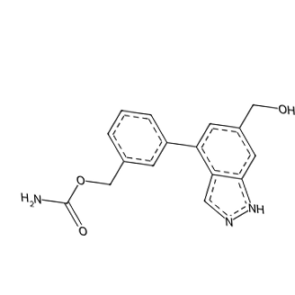 NC(=O)OCc1cccc(-c2cc(CO)cc3[nH]ncc23)c1